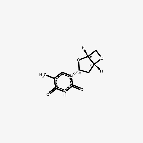 Cc1cn([C@H]2C[C@H]3OC[C@H]3O2)c(=O)[nH]c1=O